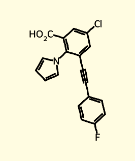 O=C(O)c1cc(Cl)cc(C#Cc2ccc(F)cc2)c1-n1cccc1